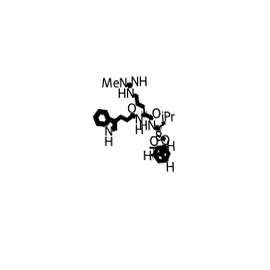 CNC(=N)NCCC[C@H](NC(=O)CCc1c[nH]c2ccccc12)C(=O)N[C@@H](CC(C)C)B1O[C@@H]2C[C@@H]3C[C@@H](C3(C)C)[C@]2(C)O1